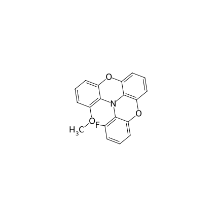 COc1cccc2c1N1c3c(F)cccc3Oc3cccc(c31)O2